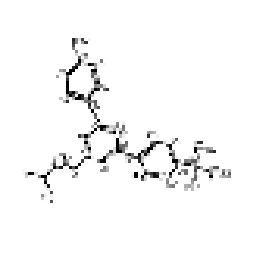 CC(=O)OCc1cc(-c2ccc(F)cc2)nc(-c2ccc(C(F)(F)F)cc2)c1